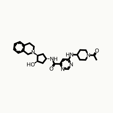 CC(=O)N1CCC(Nc2cc(C(=O)N[C@@H]3C[C@@H](O)[C@@H](N4CCc5ccccc5C4)C3)ncn2)CC1